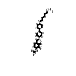 CCCCCCC[C@H]1CC[C@H]([C@H]2CC[C@H](CCc3ccc(OC(F)F)c(F)c3F)CC2)CC1